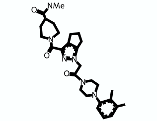 CNC(=O)C1CCN(C(=O)c2nn(CC(=O)N3CCN(c4cccc(C)c4C)CC3)c3c2CCC3)CC1